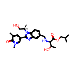 Cc1cc(-c2nc3cc(CNC(C(=O)OCC(C)C)C(C)O)ccc3n2[C@H](C)CO)cn(C)c1=O